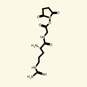 N=C(N)NCCC[C@H](N)C(=O)NCC(=O)ON1C(=O)CCC1=O